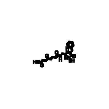 O=C(O)CCC(=O)CCCC(=O)NCC(=O)N[C@@H](Cc1ccccc1)C(=O)NS